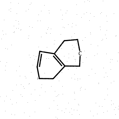 [C]1C=CC2=C(C1)CCCC2